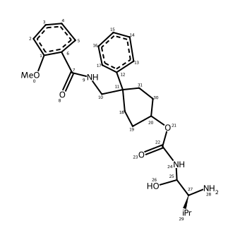 COc1ccccc1C(=O)NCC1(c2ccccc2)CCC(OC(=O)NC(O)[C@@H](N)C(C)C)CC1